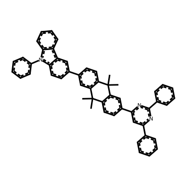 CC1(C)c2ccc(-c3cc(-c4ccccc4)nc(-c4ccccc4)n3)cc2C(C)(C)c2ccc(-c3ccc4c(c3)c3ccccc3n4-c3ccccc3)cc21